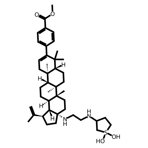 C=C(C)[C@@H]1CC[C@]2(NCCNC3CCS(O)(O)C3)CC[C@]3(C)[C@H](CC[C@@H]4[C@@]5(C)CC=C(c6ccc(C(=O)OC)cc6)C(C)(C)[C@@H]5CC[C@]43C)[C@@H]12